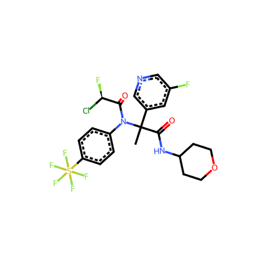 CC(C(=O)NC1CCOCC1)(c1cncc(F)c1)N(C(=O)[C@H](F)Cl)c1ccc(S(F)(F)(F)(F)F)cc1